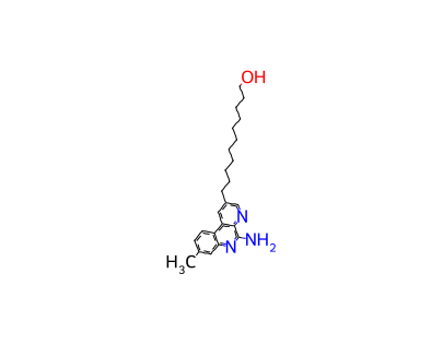 Cc1ccc2c(c1)nc(N)c1ncc(CCCCCCCCCCCO)cc12